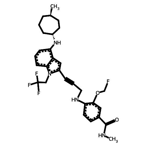 CNC(=O)c1ccc(NCC#Cc2cc3c(N[C@@H]4CCC[C@@H](C)CC4)cccc3n2CC(F)(F)F)c(OCF)c1